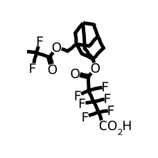 CC(F)(F)C(=O)OCC12CC3CC(C1)CC(OC(=O)C(F)(F)C(F)(F)C(F)(F)C(=O)O)(C3)C2